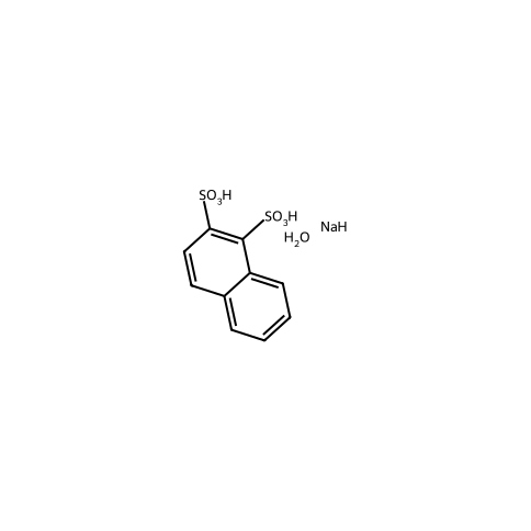 O.O=S(=O)(O)c1ccc2ccccc2c1S(=O)(=O)O.[NaH]